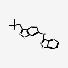 CC(C)(C)Cc1noc2cc(Nc3n[nH]c4cccnc34)ccc12